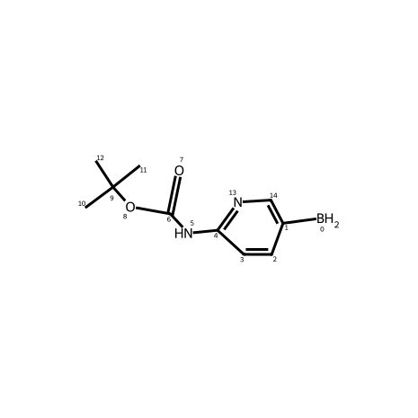 Bc1ccc(NC(=O)OC(C)(C)C)nc1